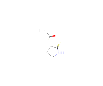 CC(=O)S[C@H]1CCNC1=S